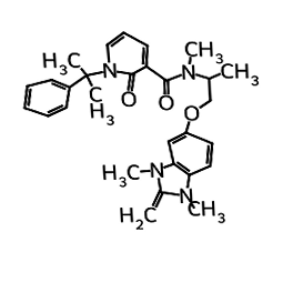 C=C1N(C)c2ccc(OCC(C)N(C)C(=O)c3cccn(C(C)(C)c4ccccc4)c3=O)cc2N1C